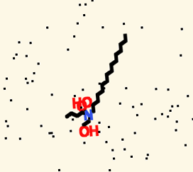 CCCCCCCCCCCCCCC(O)CN(CCO)C(=O)CCC